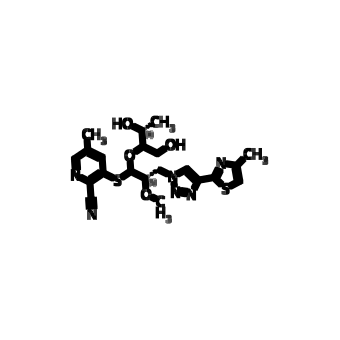 CO[C@@H](Cn1cc(-c2nc(C)cs2)nn1)C(OC(CO)[C@@H](C)O)Sc1cc(C)cnc1C#N